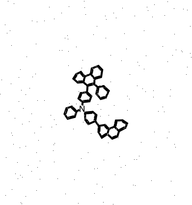 c1ccc(-c2c(-c3ccc(N(c4ccccc4)c4ccc(-c5ccc6ccc7ccccc7c6c5)cc4)cc3)c3ccccc3c3ccccc23)cc1